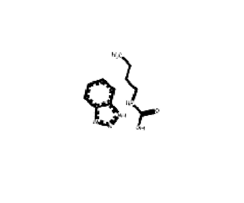 CCCCPC(=O)O.c1ccc2[nH]nnc2c1